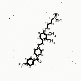 Cc1c(CCN2CCN(C(=O)c3ccc(C(F)(F)F)cc3)CC2)ccc(OCCCCN(C(C)C)C(C)C)c1C